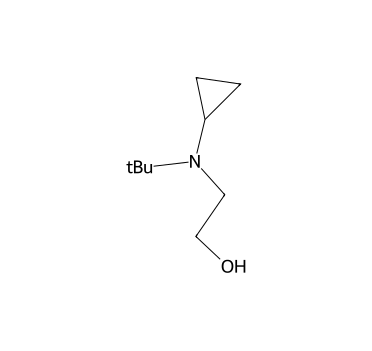 CC(C)(C)N(CCO)C1CC1